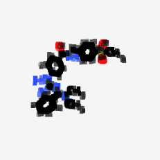 CN(C)c1nc(N[C@H]2CC[C@@H](C(=O)NCc3ccc(S(C)(=O)=O)cc3)CC2)nc2ccccc12